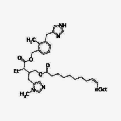 CCCCCCCC/C=C\CCCCCCCC(=O)OCC(Cc1cncn1C)C(CC)C(=O)OCc1cccc(Cc2c[nH]cn2)c1C